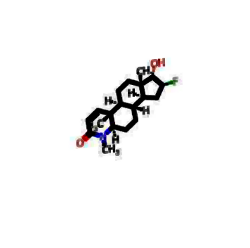 CN1C(=O)C=C[C@]2(C)[C@H]3CC[C@]4(C)[C@H](O)[C@@H](F)C[C@H]4[C@@H]3CC[C@@H]12